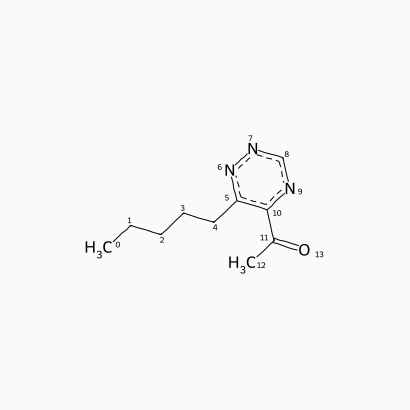 CCCCCc1nncnc1C(C)=O